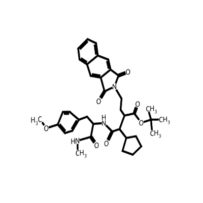 CNC(=O)C(Cc1ccc(OC)cc1)NC(=O)C(C1CCCC1)C(CCN1C(=O)c2cc3ccccc3cc2C1=O)C(=O)OC(C)(C)C